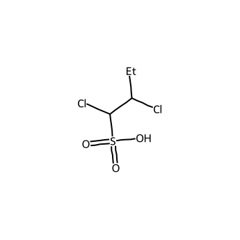 CCC(Cl)C(Cl)S(=O)(=O)O